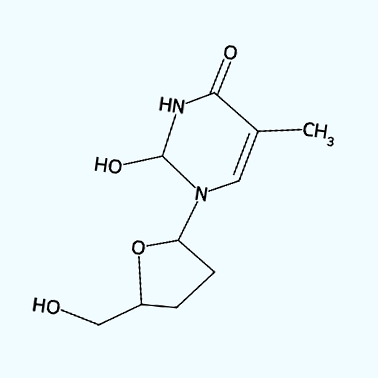 CC1=CN(C2CCC(CO)O2)C(O)NC1=O